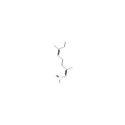 CC(=CCC/C(C)=C\[Si](=O)O)CCl